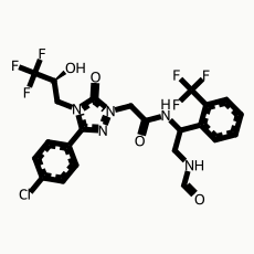 O=CNCC(NC(=O)Cn1nc(-c2ccc(Cl)cc2)n(C[C@H](O)C(F)(F)F)c1=O)c1ccccc1C(F)(F)F